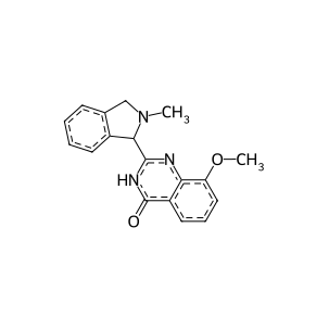 COc1cccc2c(=O)[nH]c(C3c4ccccc4CN3C)nc12